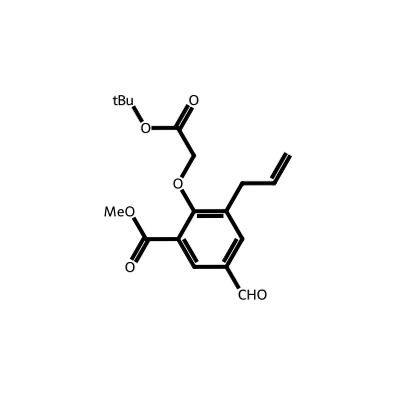 C=CCc1cc(C=O)cc(C(=O)OC)c1OCC(=O)OC(C)(C)C